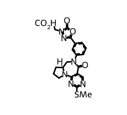 CSc1ncc2c(n1)N1CCC[C@H]1CN(c1cccc(-c3nn(CC(=O)O)c(=O)o3)c1)C2=O